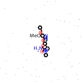 COc1cc2c(Oc3ccc(C4CCCn5c4c(C(N)=O)c(=O)n5-c4ccccc4)cc3F)ncnc2cc1OCc1ccccc1